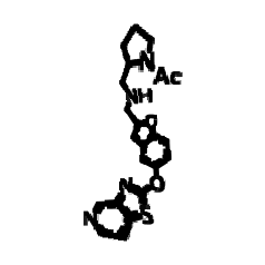 CC(=O)N1CCCC1CNCc1cc2cc(Oc3nc4cnccc4s3)ccc2o1